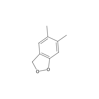 Cc1cc2c(cc1C)OOC2